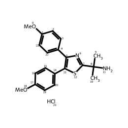 COc1ccc(-c2nc(C(C)(C)N)sc2-c2ccc(OC)cc2)cc1.Cl